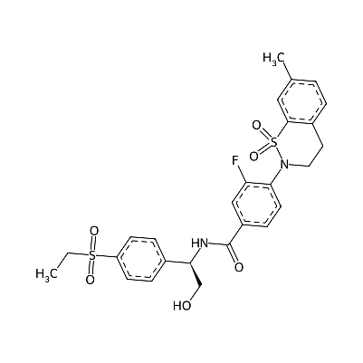 CCS(=O)(=O)c1ccc([C@H](CO)NC(=O)c2ccc(N3CCc4ccc(C)cc4S3(=O)=O)c(F)c2)cc1